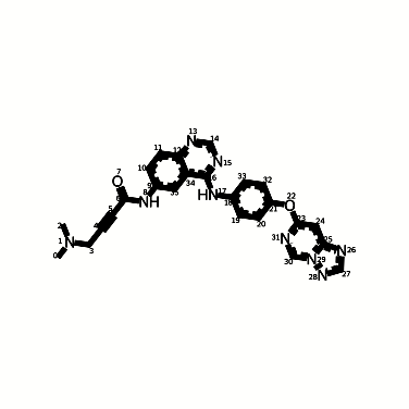 CN(C)CC#CC(=O)Nc1ccc2ncnc(Nc3ccc(Oc4cc5ncnn5cn4)cc3)c2c1